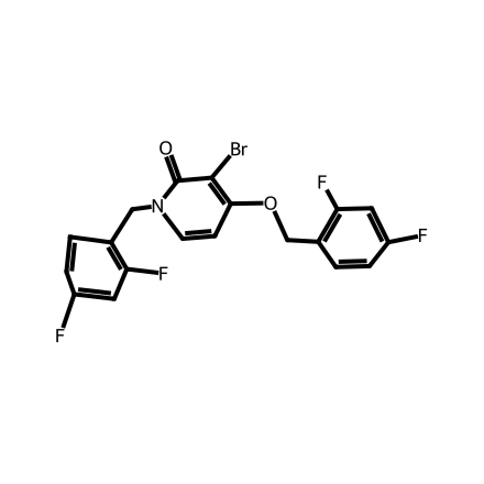 O=c1c(Br)c(OCc2ccc(F)cc2F)ccn1Cc1ccc(F)cc1F